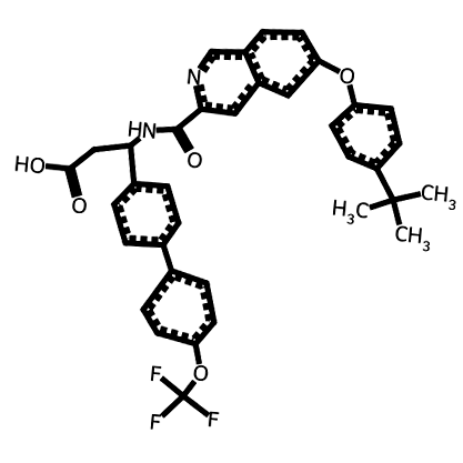 CC(C)(C)c1ccc(Oc2ccc3cnc(C(=O)NC(CC(=O)O)c4ccc(-c5ccc(OC(F)(F)F)cc5)cc4)cc3c2)cc1